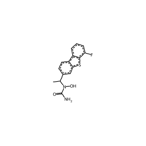 CC(c1ccc2c(c1)sc1c(F)cccc12)N(O)C(N)=O